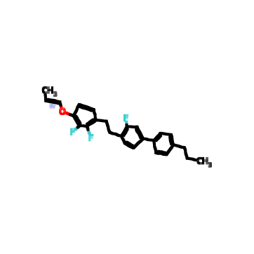 C/C=C/Oc1ccc(CCc2ccc(-c3ccc(CCC)cc3)cc2F)c(F)c1F